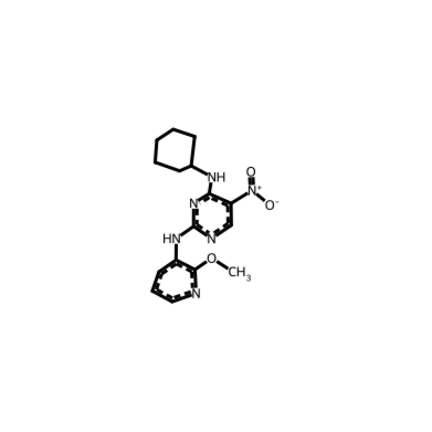 COc1ncccc1Nc1ncc([N+](=O)[O-])c(NC2CCCCC2)n1